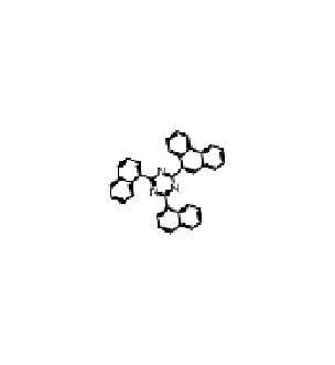 c1ccc2c(-c3nc(-c4cccc5ccccc45)nc(-c4cc5ccccc5c5ccccc45)n3)cccc2c1